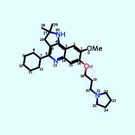 COc1cc2c3c(c(C4CCCCC4)nc2cc1OCCCN1CCCC1)CC(C)(C)N3